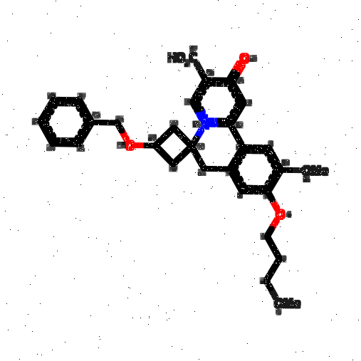 COCCCOc1cc2c(cc1OC)-c1cc(=O)c(C(=O)O)cn1C1(C2)CC(OCc2ccccc2)C1